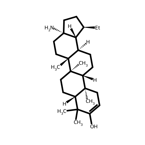 CC[C@@H]1CC[C@]2(N)CC[C@]3(C)[C@H](CC[C@@H]4[C@@]5(C)CC=C(O)C(C)(C)[C@@H]5CC[C@]43C)[C@@H]12